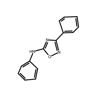 c1ccc(Nc2nc(-c3ccccc3)no2)cc1